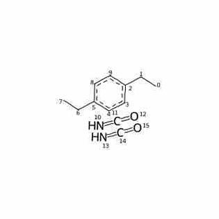 CCc1ccc(CC)cc1.N=C=O.N=C=O